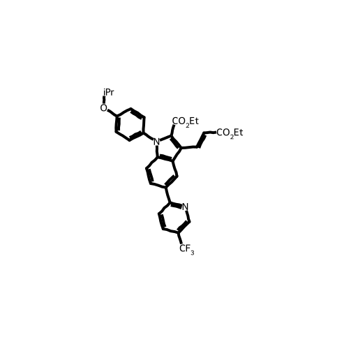 CCOC(=O)/C=C/c1c(C(=O)OCC)n(-c2ccc(OC(C)C)cc2)c2ccc(-c3ccc(C(F)(F)F)cn3)cc12